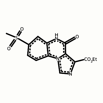 CCOC(=O)c1ncn2c1c(=O)[nH]c1cc(S(C)(=O)=O)ccc12